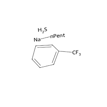 CCCC[CH2][Na].FC(F)(F)c1ccccc1.S